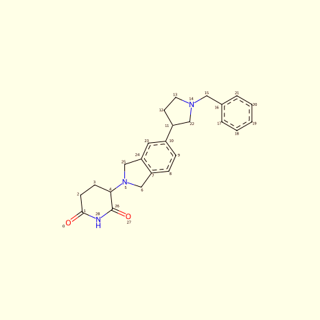 O=C1CCC(N2Cc3ccc(C4CCN(Cc5ccccc5)C4)cc3C2)C(=O)N1